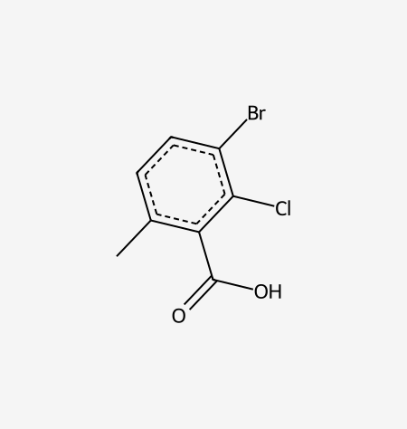 Cc1ccc(Br)c(Cl)c1C(=O)O